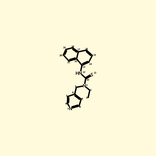 CCN(Cc1ccncc1)C(=S)Nc1cccc2ccccc12